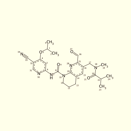 CC(C)Oc1cc(NC(=O)N2CCCc3cc(CN(C)C(=O)C(C)C)c(C=O)nc32)ncc1C#N